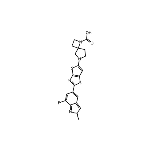 Cn1cc2cc(-c3nc4sc(N5CCC6(CCN6C(=O)O)C5)cc4s3)cc(F)c2n1